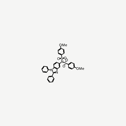 COc1ccc(S(=O)(=O)N(c2ccc3c(c2)nc(-c2ccccc2)n3-c2ccccc2)S(=O)(=O)c2ccc(OC)cc2)cc1